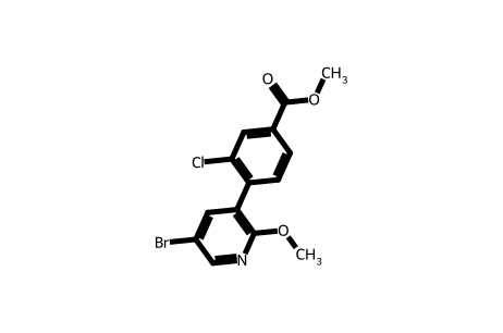 COC(=O)c1ccc(-c2cc(Br)cnc2OC)c(Cl)c1